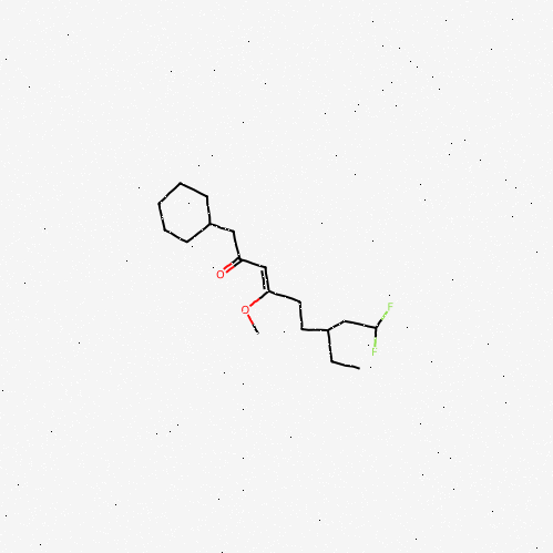 CCC(CC/C(=C/C(=O)CC1CCCCC1)OC)CC(F)F